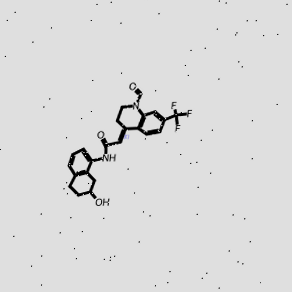 O=CN1CC/C(=C\C(=O)Nc2cccc3c2CC(O)CC3)c2ccc(C(F)(F)F)cc21